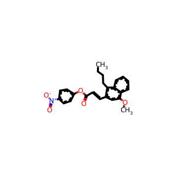 CCCCc1c(C=CC(=O)Oc2ccc([N+](=O)[O-])cc2)cc(OC)c2ccccc12